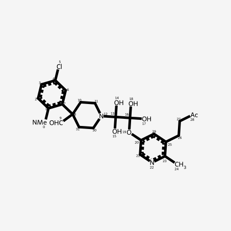 CNc1ccc(Cl)cc1C1(C=O)CCN(C(O)(O)C(O)(O)Oc2cnc(C)c(CCC(C)=O)c2)CC1